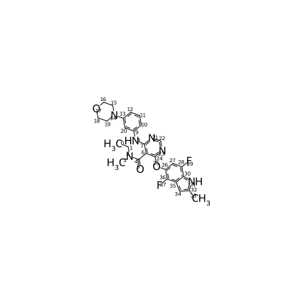 CCN(C)C(=O)c1c(Nc2cccc(N3CCOCC3)c2)ncnc1Oc1cc(F)c2[nH]c(C)cc2c1F